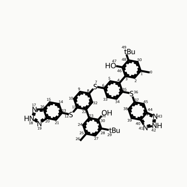 Cc1cc(-c2cc(Sc3ccc(Sc4ccc5n[nH]nc5c4)c(-c4cc(C)cc(C(C)(C)C)c4O)c3)ccc2Sc2ccc3n[nH]nc3c2)c(O)c(C(C)(C)C)c1